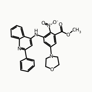 COC(=O)c1cc(N2CCOCC2)cc(Nc2cc(-c3ccccc3)nc3ccccc23)c1[N+](=O)[O-]